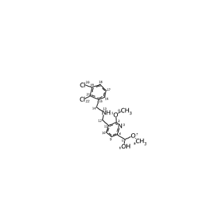 COc1nc(C(O)OC)ccc1CNCc1cccc(Cl)c1Cl